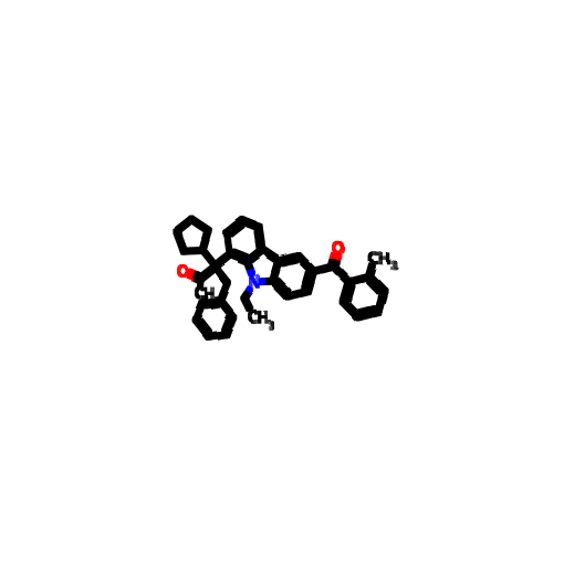 CCn1c2ccc(C(=O)c3ccccc3C)cc2c2cccc(C(Cc3ccccc3)(C(C)=O)C3CCCC3)c21